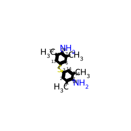 Cc1cc(Sc2cc(C)c(N)c(C)c2)cc(C)c1N